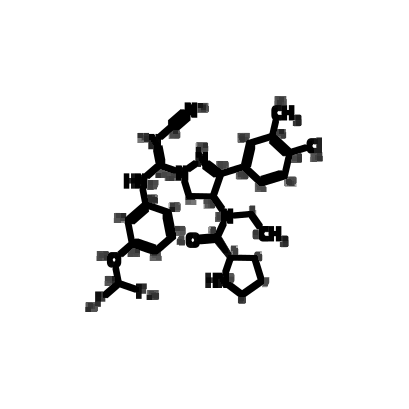 CCN(C(=O)[C@H]1CCCN1)C1CN(/C(=N\C#N)Nc2cccc(OC(F)F)c2)N=C1c1ccc(Cl)c(C)c1